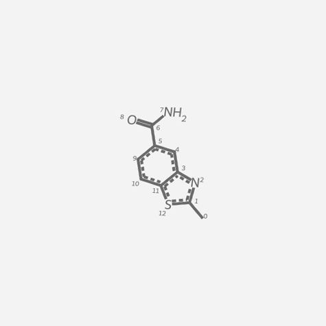 Cc1nc2cc(C(N)=O)ccc2s1